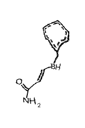 NC(=O)C=CBc1ccccc1